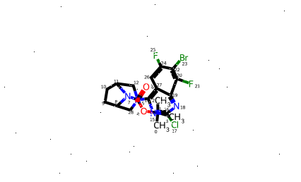 CC(C)(C)OC(=O)N1C2CCC1CN(c1nc(Cl)nc3c(F)c(Br)c(F)cc13)C2